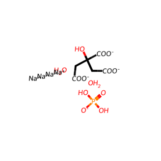 O.O.O=C([O-])CC(O)(CC(=O)[O-])C(=O)[O-].O=P([O-])(O)O.[Na+].[Na+].[Na+].[Na+]